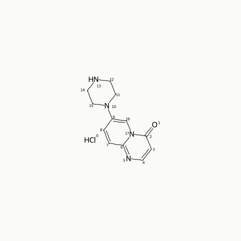 Cl.O=c1ccnc2ccc(N3CCNCC3)cn12